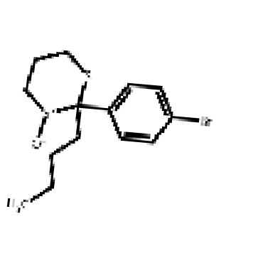 CCCCC1(c2ccc(Br)cc2)SCCC[S+]1[O-]